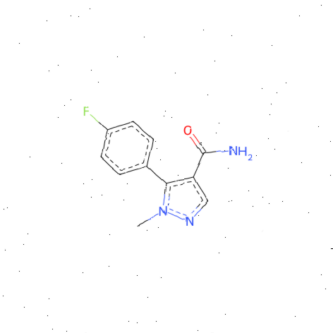 Cn1ncc(C(N)=O)c1-c1ccc(F)cc1